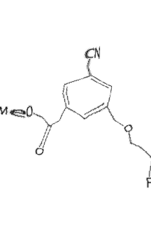 COC(=O)c1cc(C#N)cc(OCCF)c1